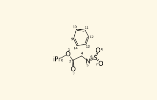 CC(C)OC(=O)CN=S(=O)=O.c1ccccc1